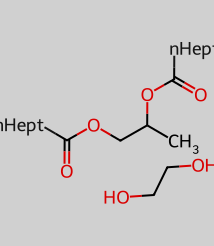 CCCCCCCC(=O)OCC(C)OC(=O)CCCCCCC.OCCO